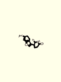 CC(=O)c1ccc2c(C3CCC(=O)NC3=O)coc2c1